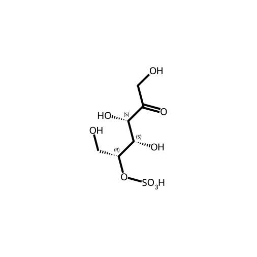 O=C(CO)[C@@H](O)[C@H](O)[C@@H](CO)OS(=O)(=O)O